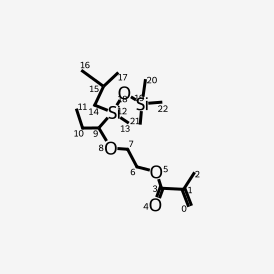 C=C(C)C(=O)OCCOC(CC)[Si](C)(CC(C)C)O[Si](C)(C)C